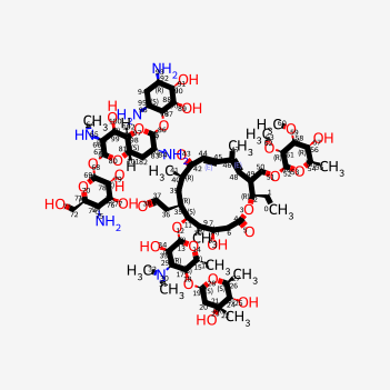 CC[C@H]1OC(=O)C[C@@H](O)[C@H](C)[C@@H](O[C@@H]2O[C@H](C)[C@@H](O[C@H]3C[C@@](C)(O)[C@@H](O)[C@H](C)O3)[C@H](N(C)C)[C@H]2O)[C@@H](CC=O)C[C@@H](C)C(=O)/C=C/C(C)=C/C1CO[C@@H]1O[C@H](C)[C@@H](O)[C@@H](OC)[C@H]1OC.CN[C@@H]1[C@@H](O[C@H]2O[C@H](CO)[C@@H](N)[C@H](O)[C@H]2O)O[C@H]2C[C@@H](N)[C@@H](O[C@H]3[C@H](O)[C@@H](O)[C@H](N)C[C@@H]3N)O[C@@H]2[C@@H]1O